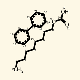 CCCCCCCCCOC(=O)O.c1ccc(-c2ccccc2)cc1